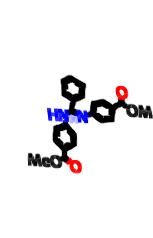 COC(=O)c1ccc(/N=C(/Nc2ccc(C(=O)OC)cc2)c2ccccc2)cc1